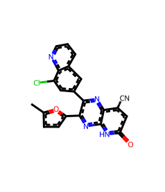 Cc1ccc(-c2nc3[nH]c(=O)cc(C#N)c3nc2-c2cc(Cl)c3ncccc3c2)o1